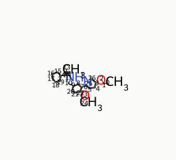 CCOc1ccc(-c2cc(CN[C@H](C)c3ccccc3)ccc2OC)nc1